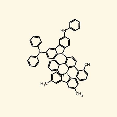 Cc1ccc2c(c1)c1cc(C)ccc1n2-c1c(-c2ccccc2C#N)ccc(-n2c3ccc(Nc4ccccc4)cc3c3cc(N(c4ccccc4)c4ccccc4)ccc32)c1-c1ccccc1C#N